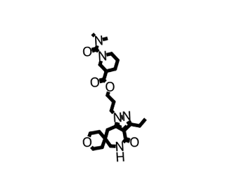 CCc1nn(CCCOC(=O)C2CCCN(C(=O)N(C)C)C2)c2c1C(=O)NCC1(CCOCC1)C2